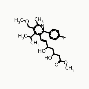 COCc1c(C)nc(-c2ccc(F)cc2)c(C=CC(O)CC(O)CC(=O)OC)c1C(C)C